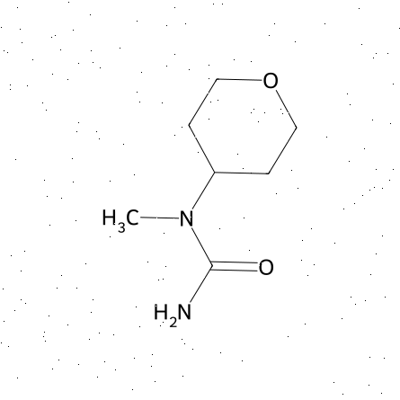 CN(C(N)=O)C1CCOCC1